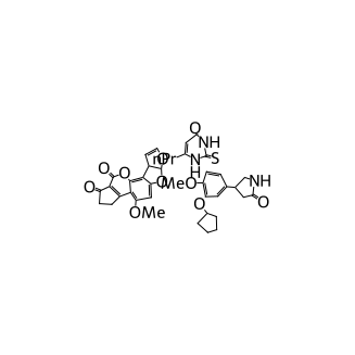 CCCc1cc(=O)[nH]c(=S)[nH]1.COc1cc2c(c3oc(=O)c4c(c13)CCC4=O)C1C=COC1O2.COc1ccc(C2CNC(=O)C2)cc1OC1CCCC1